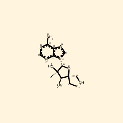 C[C@@]1(O)[C@H](O)[C@](CO)(CF)O[C@H]1n1cnc2c(N)ncnc21